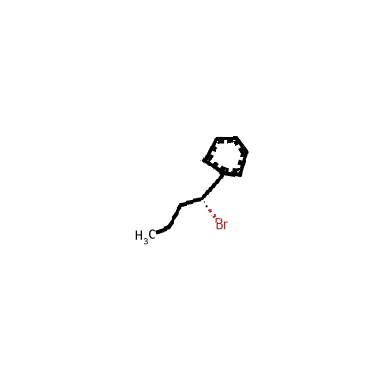 CCC[C@@H](Br)c1ccccc1